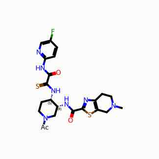 CC(=O)N1CC[C@H](NC(=S)C(=O)Nc2ccc(F)cn2)[C@H](NC(=O)c2nc3c(s2)CN(C)CC3)C1